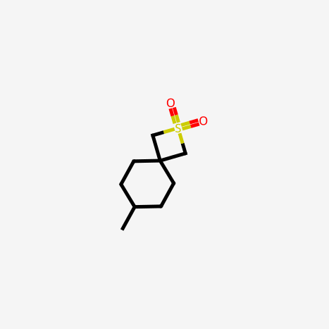 CC1CCC2(CC1)CS(=O)(=O)C2